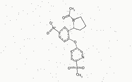 CC(=O)N1CCCC1c1cc([N+](=O)[O-])ccc1Oc1ccc(S(C)(=O)=O)nc1